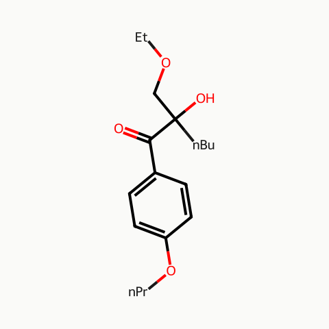 CCCCC(O)(COCC)C(=O)c1ccc(OCCC)cc1